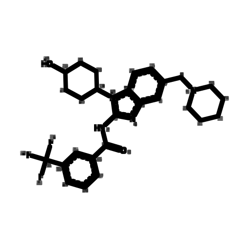 O=C(Nc1nc2cc(CN3CCCCC3)ccc2n1C1CCC(O)CC1)c1cccc(C(F)(F)F)c1